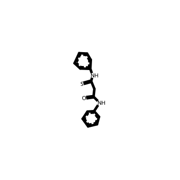 O=C(CC(=S)Nc1ccccc1)Nc1ccccc1